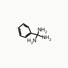 NC(N)(N)c1cc[c]cc1